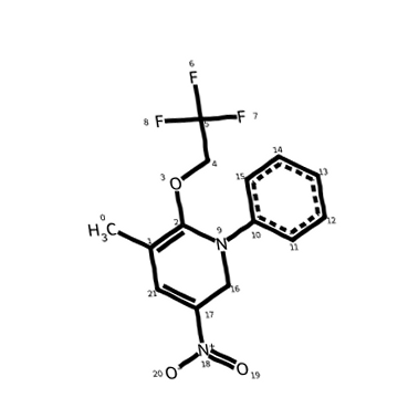 CC1=C(OCC(F)(F)F)N(c2ccccc2)CC([N+](=O)[O-])=C1